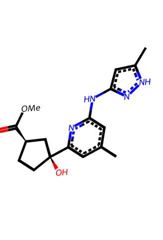 COC(=O)[C@@H]1CC[C@@](O)(c2cc(C)cc(Nc3cc(C)[nH]n3)n2)C1